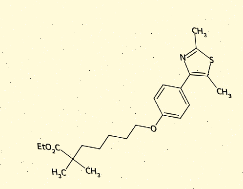 CCOC(=O)C(C)(C)CCCCCOc1ccc(-c2nc(C)sc2C)cc1